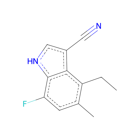 CCc1c(C)cc(F)c2[nH]cc(C#N)c12